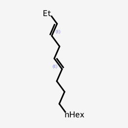 [CH2]C/C=C/C/C=C/CCCCCCCCC